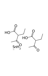 CCC(C(C)=O)C(=O)O.CCC(C(C)=O)C(=O)O.[SnH2]